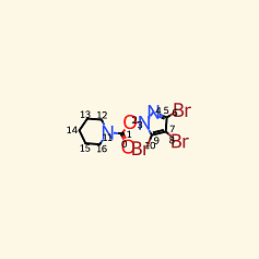 O=C(On1nc(Br)c(Br)c1Br)N1CCCCC1